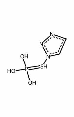 OP(O)(O)=[SH]n1ccnn1